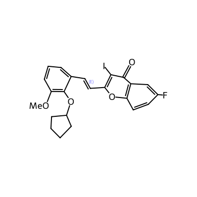 COc1cccc(/C=C/c2oc3ccc(F)cc3c(=O)c2I)c1OC1CCCC1